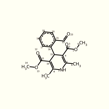 COC(=O)C1=C(C)NC(C)=C(C(=O)OC)C1c1ccccc1C=O